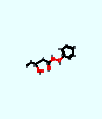 CCC(O)CC(=O)OOc1ccccc1